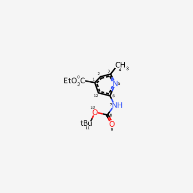 CCOC(=O)c1cc(C)nc(NC(=O)OC(C)(C)C)c1